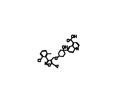 Cc1cccc(Cl)c1-c1noc(C2CC2)c1CO[C@H]1CC[C@](O)(c2ccc3nccc(C(=O)O)c3c2)CC1